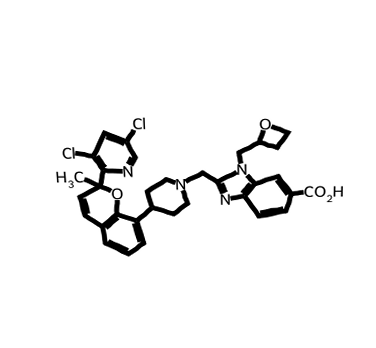 CC1(c2ncc(Cl)cc2Cl)C=Cc2cccc(C3CCN(Cc4nc5ccc(C(=O)O)cc5n4CC4CCO4)CC3)c2O1